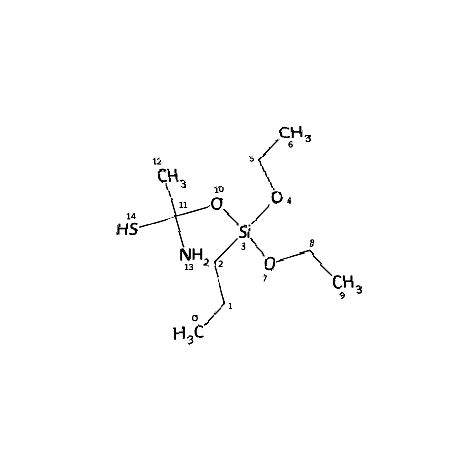 CCC[Si](OCC)(OCC)OC(C)(N)S